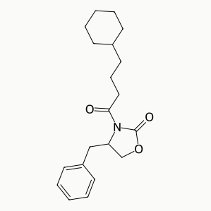 O=C(CCCC1CCCCC1)N1C(=O)OCC1Cc1ccccc1